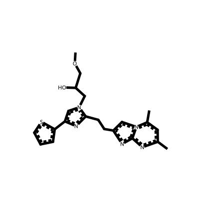 COCC(O)Cn1cc(-c2cccs2)nc1CCc1cn2c(C)cc(C)nc2n1